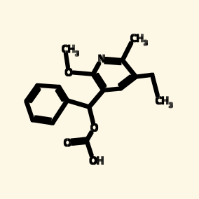 CCc1cc(C(OC(=O)O)c2ccccc2)c(OC)nc1C